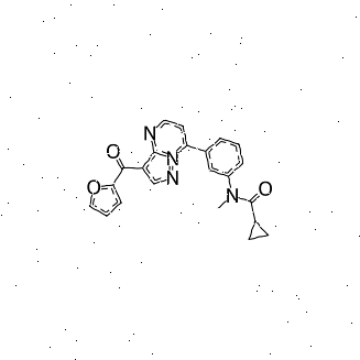 CN(C(=O)C1CC1)c1cccc(-c2ccnc3c(C(=O)c4ccco4)cnn23)c1